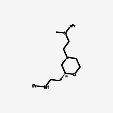 CCCN(C)CCN1CCO[C@H](CCNC(C)C)C1